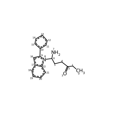 CCC(=O)CCC(N)n1c(-c2ccccc2)cc2ccccc21